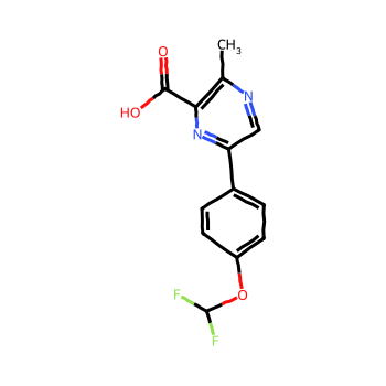 Cc1ncc(-c2ccc(OC(F)F)cc2)nc1C(=O)O